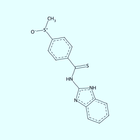 C[S+]([O-])c1ccc(C(=S)Nc2nc3ccccc3[nH]2)cc1